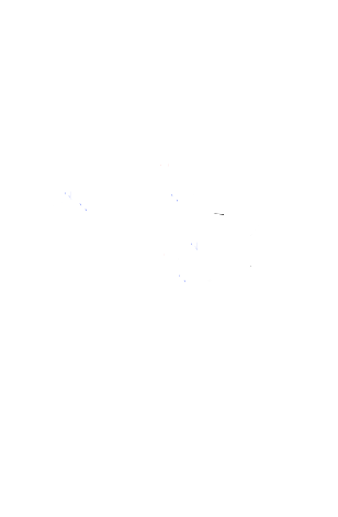 CN(C(=O)N(C)[C@@H]1CN(C(=O)c2ccc(-n3cccn3)cc2)C[C@H]1c1ccc(F)cc1)c1cc(C(F)(F)F)cc(C(F)(F)F)c1